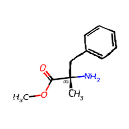 COC(=O)[C@@](C)(N)Cc1ccccc1